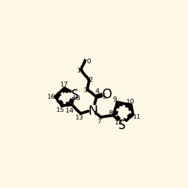 [CH2]CCCC(=O)N(Cc1cccs1)Cc1cccs1